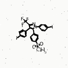 CS(=O)(=O)c1ccc(-c2c(-c3ccc(I)cc3)c(C(F)(F)F)nn2-c2ccc(I)cc2)cc1